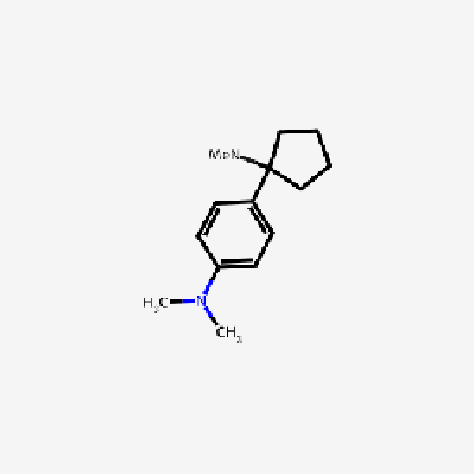 CNC1(c2ccc(N(C)C)cc2)CCCC1